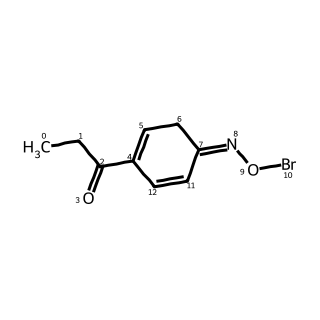 CCC(=O)C1=CCC(=NOBr)C=C1